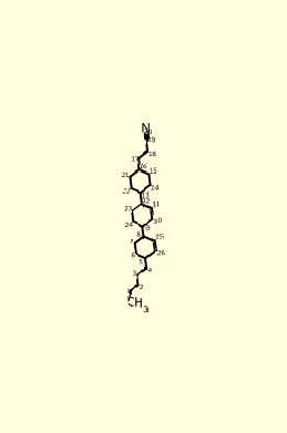 CCCCCC1CCC(C2CCC(C3CCC(CCC#N)CC3)CC2)CC1